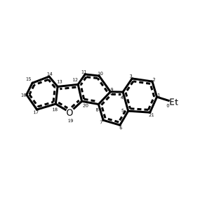 CCc1ccc2c(ccc3c2ccc2c4ccccc4oc23)c1